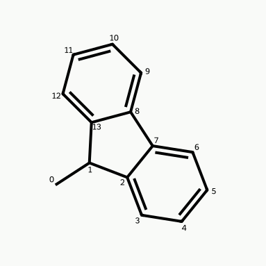 CC1c2ccccc2-c2ccccc21